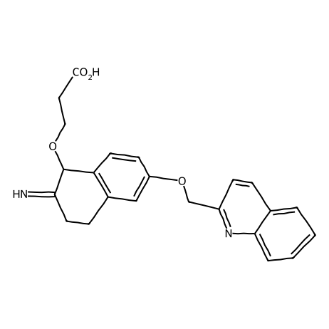 N=C1CCc2cc(OCc3ccc4ccccc4n3)ccc2C1OCCC(=O)O